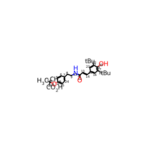 CC(C)(Oc1ccc(CCNC(=O)C=Cc2cc(C(C)(C)C)c(O)c(C(C)(C)C)c2)cc1)C(=O)O